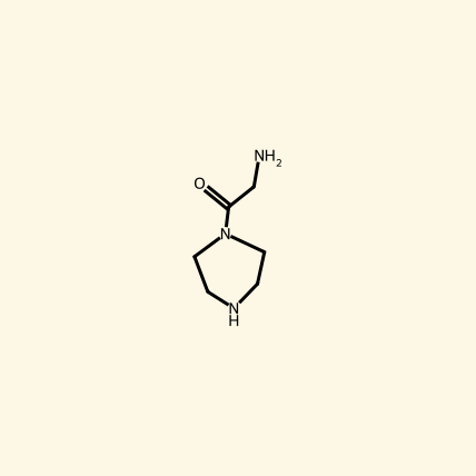 NCC(=O)N1CCNCC1